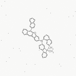 CC1(C)c2ccccc2-c2ccc(N(c3ccc4c(c3)oc3c(-c5ccc6ccccc6c5)c5ccccc5cc34)c3cccc4ccccc34)cc21